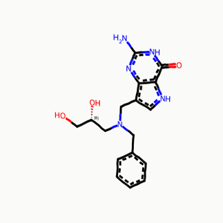 Nc1nc2c(CN(Cc3ccccc3)C[C@@H](O)CO)c[nH]c2c(=O)[nH]1